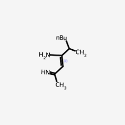 CCCCC(C)/C(N)=C/C(C)=N